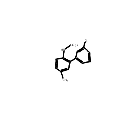 Cc1ccc(NC(=O)O)c(-c2cccc(Cl)c2)c1